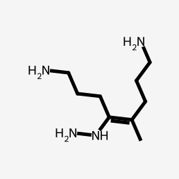 CC(CCCN)=C(CCCN)NN